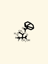 CC(C)C(OC(=O)C12CC3CC(CC(C3)C1)C2)C(C)(C(=O)O)C(F)(F)F